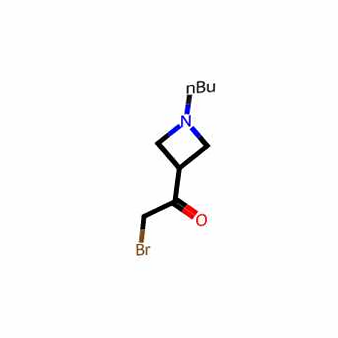 CCCCN1CC(C(=O)CBr)C1